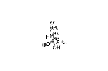 COC[C@H]1O[C@@H](NC(=O)CNC=O)[C@@H](O)C1O